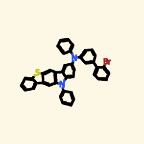 Brc1ccccc1-c1cccc(N(c2ccccc2)c2ccc3c(c2)c2cc4sc5ccccc5c4cc2n3-c2ccccc2)c1